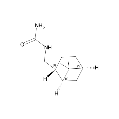 CC1(C)[C@H]2CC[C@@H](CNC(N)=O)[C@@H]1C2